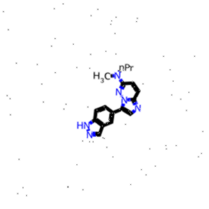 CCCN(C)c1ccc2ncc(-c3ccc4[nH]ncc4c3)n2n1